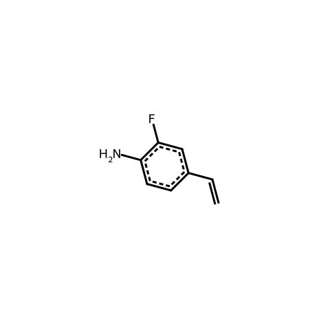 C=Cc1ccc(N)c(F)c1